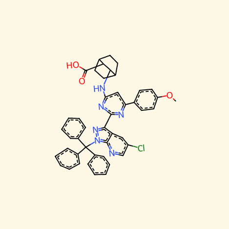 COc1ccc(-c2cc(NC3C4CCC(CC4)C3C(=O)O)nc(-c3nn(C(c4ccccc4)(c4ccccc4)c4ccccc4)c4ncc(Cl)cc34)n2)cc1